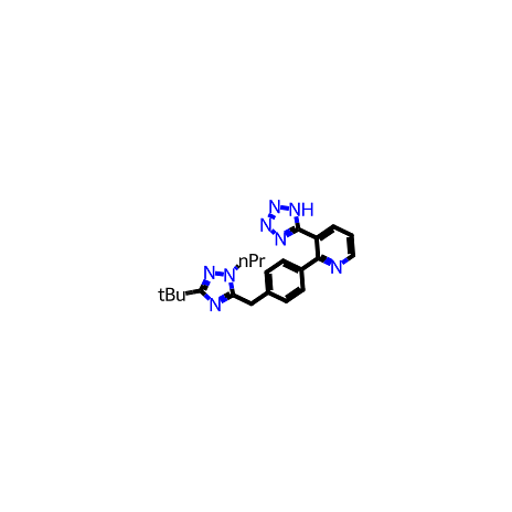 CCCn1nc(C(C)(C)C)nc1Cc1ccc(-c2ncccc2-c2nnn[nH]2)cc1